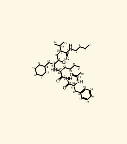 CCCCNC(=O)[C@@H](CC(O)[C@H](CC1CCCCC1)N[C@@H](CCCC)C(=O)NC(=O)[C@H](Cc1ccccc1)NC(C)=O)C(C)C